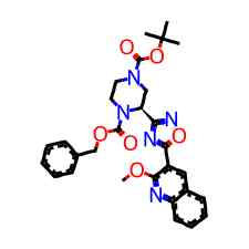 COc1nc2ccccc2cc1-c1nc([C@@H]2CN(C(=O)OC(C)(C)C)CCN2C(=O)OCc2ccccc2)no1